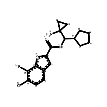 NC1(C(NC(=O)c2cc3ccc(Cl)c(F)c3s2)C2CCCC2)CC1